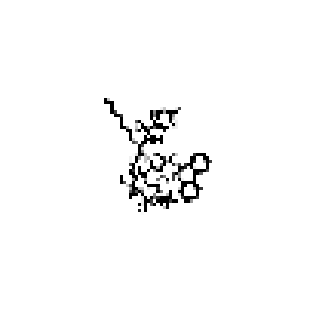 C=CCCCCC[C@H](NC(=O)c1cnc(C)cn1)C(=O)N1C[C@H](Oc2nc3ccccc3c3ccccc23)C[C@H]1C(=O)N(C(=O)OC(C)(C)C)[C@]1(C(=O)O)C[C@]1(C=C)CC